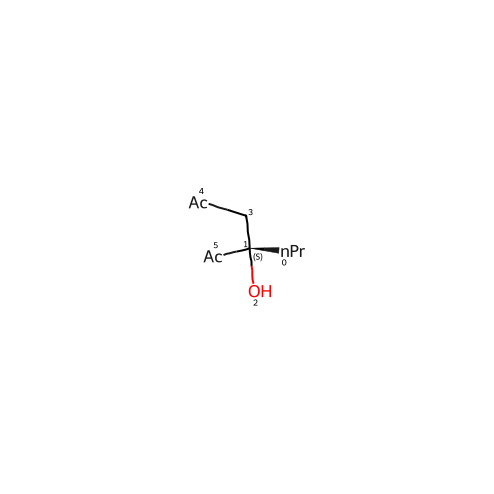 CCC[C@](O)(CC(C)=O)C(C)=O